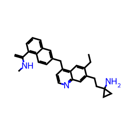 C=C(NC)c1cccc2cc(Cc3ccnc4cc(CCC5(N)CC5)c(CC)cc34)ccc12